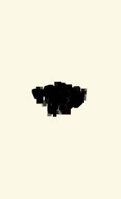 C=C(/C=C\C(F)=C/C)[C@@]1(CCCC(F)(F)F)NC(=N)N(Cc2ccc(C(F)(F)F)c(C(=O)N3Cc4cnc(-c5ccc(-n6nccn6)cc5)nc4C3)c2)C1=O